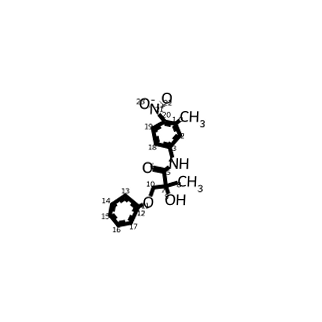 Cc1cc(NC(=O)C(C)(O)COc2ccccc2)ccc1[N+](=O)[O-]